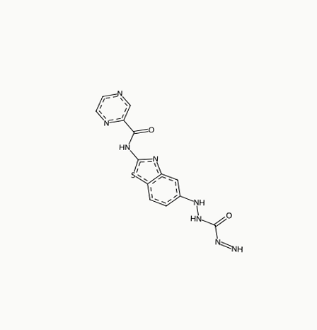 N=NC(=O)NNc1ccc2sc(NC(=O)c3cnccn3)nc2c1